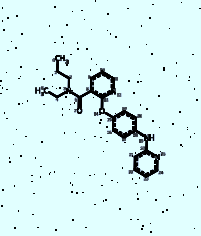 CCCN(CC)C(=O)c1cccnc1Oc1ccc(Nc2ccccn2)cc1